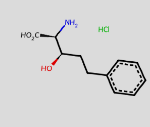 Cl.N[C@H](C(=O)O)[C@H](O)CCc1ccccc1